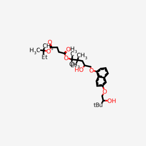 CCC(C)(C)OC(=O)CCC(=O)OC(C)(C)C(C)(CC)CC(O)COc1cccc2cc(OCC(O)C(C)(C)C)ccc12